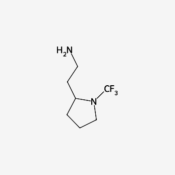 NCCC1CCCN1C(F)(F)F